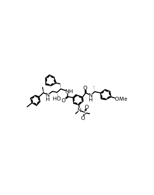 COc1ccc([C@@H](C)NC(=O)c2cc(C(=O)N[C@@H](Cc3ccccc3)[C@H](O)CN[C@H](C)c3ccc(C)cc3)cc(N(C)S(C)(=O)=O)c2)cc1